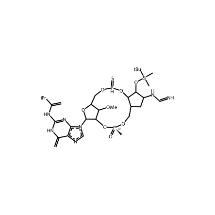 C=C1NC(NC(=C)C(C)C)=Nc2c1ncn2C1OC2CO[PH](=S)OC3C(CO[P@](C)(=O)OC1C2OC)CC(NC=N)C3O[Si](C)(C)C(C)(C)C